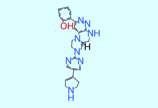 Oc1ccccc1-c1cc2c(nn1)NC[C@H]1CN(c3ncc(C4=CCNCC4)cn3)CCN21